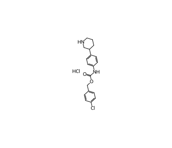 Cl.O=C(Nc1ccc(C2CCCNC2)cc1)OCc1ccc(Cl)cc1